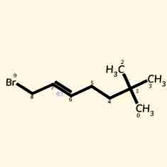 CC(C)(C)CC/C=C/CBr